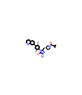 O=C(C1CC1)N1CC[C@@H](Cc2n[nH]c(=O)n2-c2cc(F)c(-c3ccc4cccnc4c3)cc2F)C1